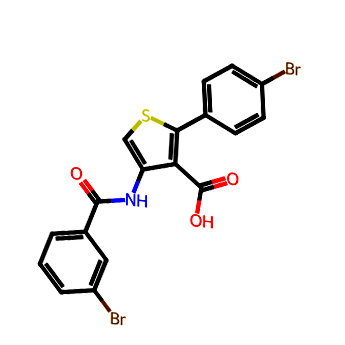 O=C(Nc1csc(-c2ccc(Br)cc2)c1C(=O)O)c1cccc(Br)c1